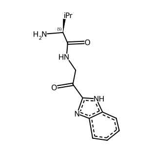 CC(C)[C@H](N)C(=O)NCC(=O)c1nc2ccccc2[nH]1